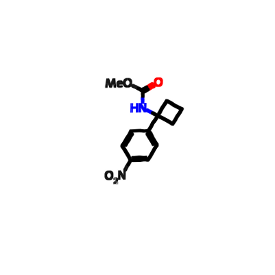 COC(=O)NC1(c2ccc([N+](=O)[O-])cc2)CCC1